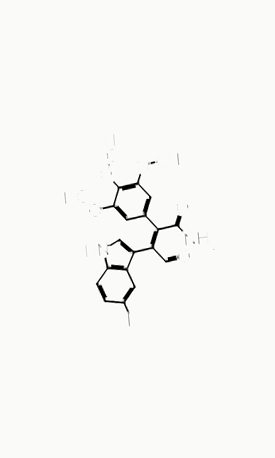 COc1cc(/C(C(N)=O)=C(/C=O)c2c[nH]c3ccc(F)cc23)cc(OC)c1OC